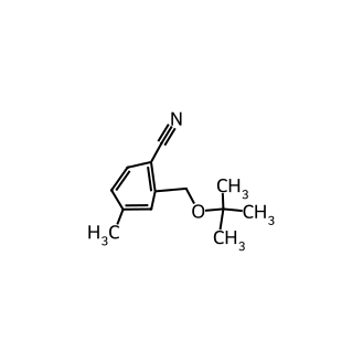 Cc1ccc(C#N)c(COC(C)(C)C)c1